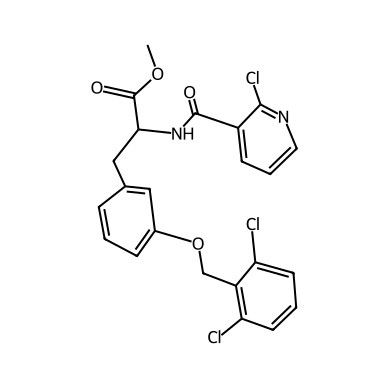 COC(=O)C(Cc1cccc(OCc2c(Cl)cccc2Cl)c1)NC(=O)c1cccnc1Cl